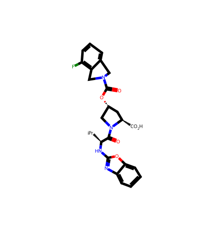 CC(C)[C@H](Nc1nc2ccccc2o1)C(=O)N1C[C@H](OC(=O)N2Cc3cccc(F)c3C2)C[C@H]1C(=O)O